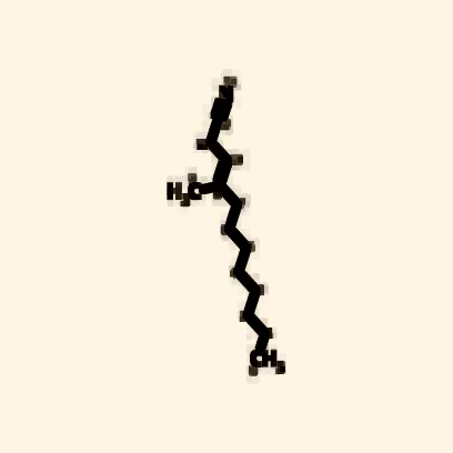 CCCCCCCC/C(C)=C/CC#N